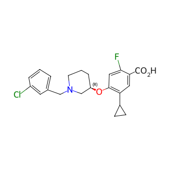 O=C(O)c1cc(C2CC2)c(O[C@@H]2CCCN(Cc3cccc(Cl)c3)C2)cc1F